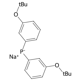 CC(C)(C)Oc1cccc([P-]c2cccc(OC(C)(C)C)c2)c1.[Na+]